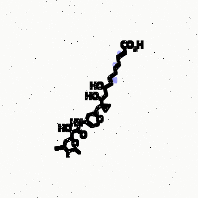 C=C1CC(C(O)C(=O)NC2=CCO[C@H](CC3(C(O)CC(O)/C=C/C/C=C/C=C/C(=O)O)CC3)C2)OC(C)C1C